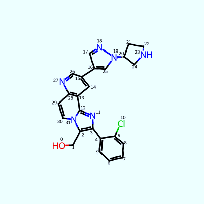 OCc1c(-c2ccccc2Cl)nc2c3cc(-c4cnn([C@H]5CCNC5)c4)cnc3ccn12